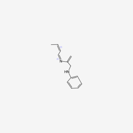 C=C(CNc1ccccc1)/N=C\C=C/C